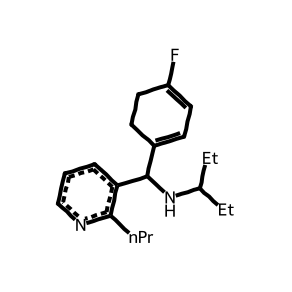 CCCc1ncccc1C(NC(CC)CC)C1=CC=C(F)CC1